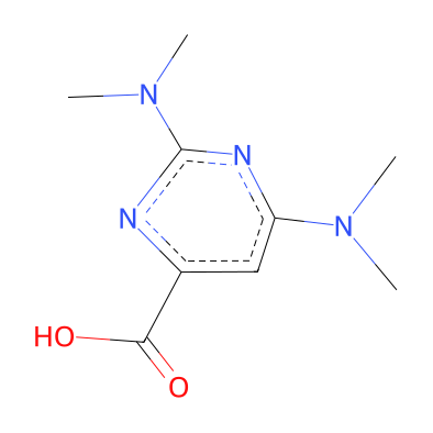 CN(C)c1cc(C(=O)O)nc(N(C)C)n1